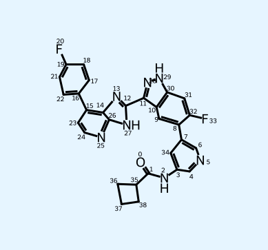 O=C(Nc1cncc(-c2cc3c(-c4nc5c(-c6ccc(F)cc6)ccnc5[nH]4)n[nH]c3cc2F)c1)C1CCC1